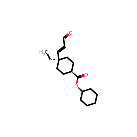 CC[C@]1(C=CC=O)CC[C@@H](C(=O)OC2CCCCC2)CC1